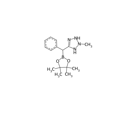 CN1NN=C(C(B2OC(C)(C)C(C)(C)O2)c2ccccc2)N1